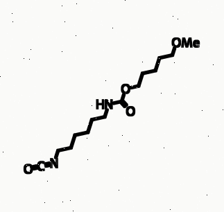 COCCCCCOC(=O)NCCCCCCN=C=O